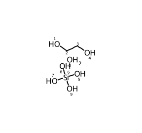 O.OCCO.O[Si](O)(O)O